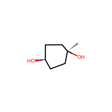 C[C@]1(O)CC[C@@H](O)CC1